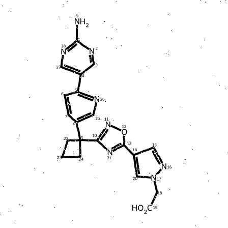 Nc1ncc(-c2ccc(C3(c4noc(-c5cnn(CC(=O)O)c5)n4)CCC3)cn2)cn1